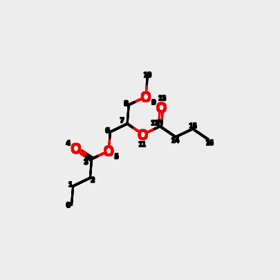 CCCC(=O)OCC(COC)OC(=O)CCC